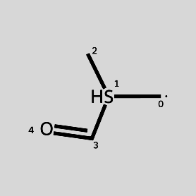 [CH2][SH](C)C=O